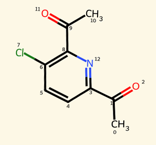 CC(=O)c1ccc(Cl)c(C(C)=O)n1